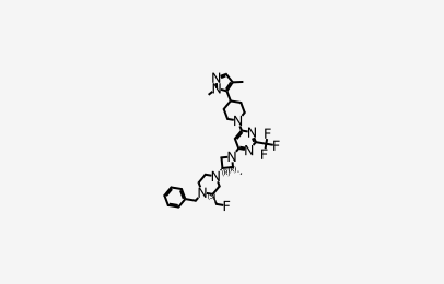 Cc1cnn(C)c1C1CCN(c2cc(N3C[C@@H](N4CCN(Cc5ccccc5)[C@H](CF)C4)[C@H]3C)nc(C(F)(F)F)n2)CC1